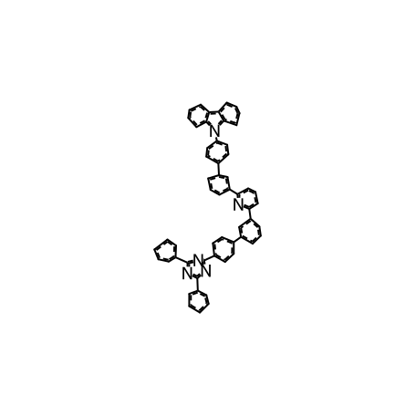 c1ccc(-c2nc(-c3ccccc3)nc(-c3ccc(-c4cccc(-c5cccc(-c6cccc(-c7ccc(-n8c9ccccc9c9ccccc98)cc7)c6)n5)c4)cc3)n2)cc1